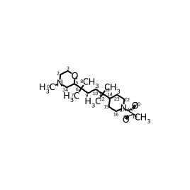 CN1CCOC(C(C)(C)CCC(C)(C)C2CCN(S(C)(=O)=O)CC2)C1